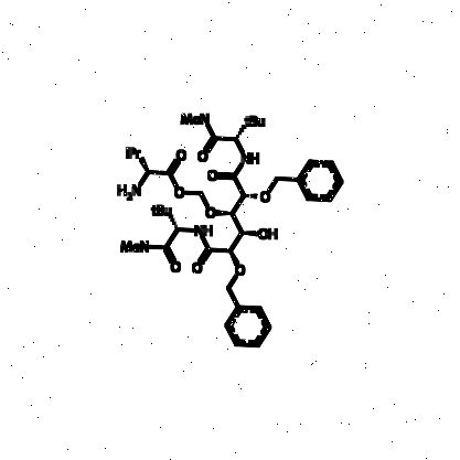 CNC(=O)[C@@H](NC(=O)[C@H](OCc1ccccc1)[C@H](O)[C@@H](OCOC(=O)[C@@H](N)C(C)C)[C@@H](OCc1ccccc1)C(=O)N[C@H](C(=O)NC)C(C)(C)C)C(C)(C)C